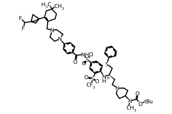 CN(C(=O)OC(C)(C)C)C1CCN(CC[C@H](CSc2ccccc2)Nc2ccc(S(=O)(=O)NC(=O)c3ccc(N4CCN(CC5=C(C67CC(C(F)F)(C6)C7)CC(C)(C)CC5)CC4)cc3)cc2S(=O)(=O)C(F)(F)F)CC1